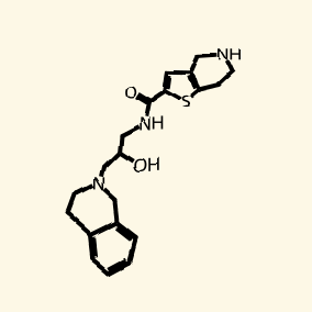 O=C(NCC(O)CN1CCc2ccccc2C1)c1cc2c(s1)CCNC2